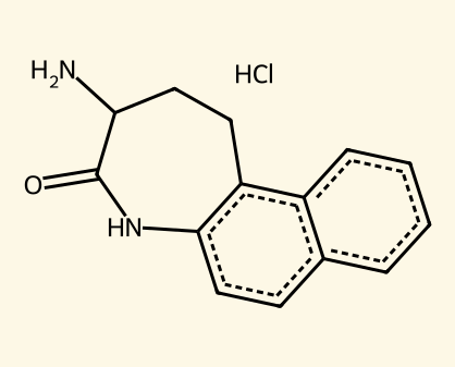 Cl.NC1CCc2c(ccc3ccccc23)NC1=O